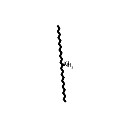 CCCCCCCCCCCCCC(N)CCCCCCCCCCCC.Cl